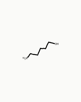 OCCCCC[SiH3]